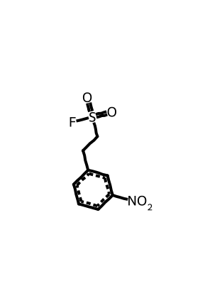 O=[N+]([O-])c1cccc(CCS(=O)(=O)F)c1